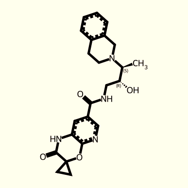 C[C@@H]([C@H](O)CNC(=O)c1cnc2c(c1)NC(=O)C1(CC1)O2)N1CCc2ccccc2C1